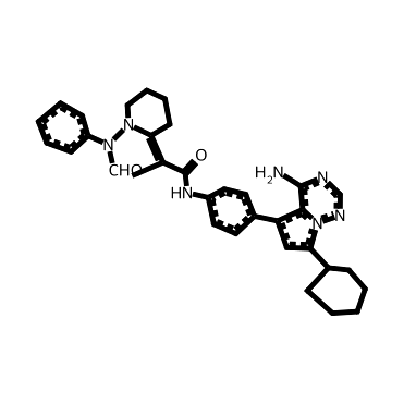 C/C(C(=O)Nc1ccc(-c2cc(C3CCCCC3)n3ncnc(N)c23)cc1)=C1/CCCCN1N(C=O)c1ccccc1